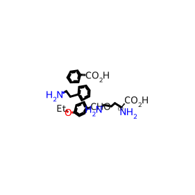 CCOc1ccc(C=O)cc1.NCCC[C@H](N)C(=O)O.NCCc1ccccc1.O=C(O)c1ccccc1